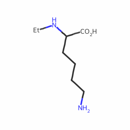 CCNC(CCCCN)C(=O)O